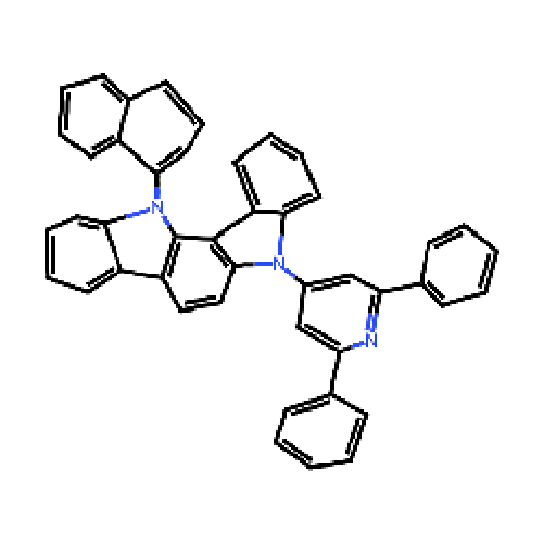 c1ccc(-c2cc(-n3c4ccccc4c4c3ccc3c5ccccc5n(-c5cccc6ccccc56)c34)cc(-c3ccccc3)n2)cc1